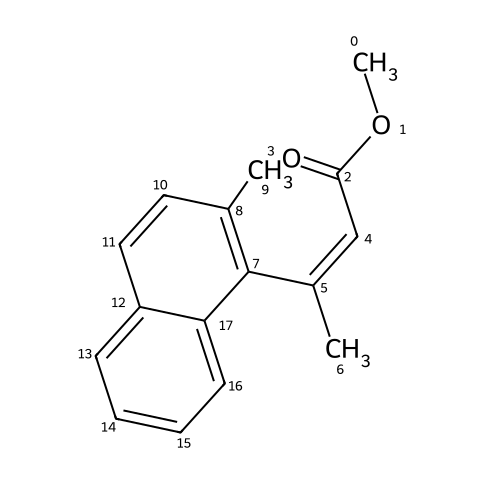 COC(=O)/C=C(/C)c1c(C)ccc2ccccc12